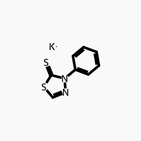 S=c1scnn1-c1ccccc1.[K]